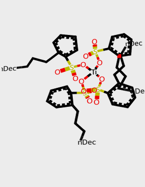 CCCCCCCCCCCCCc1ccccc1S(=O)(=O)[O][Ti]([O]S(=O)(=O)c1ccccc1CCCCCCCCCCCCC)([O]S(=O)(=O)c1ccccc1CCCCCCCCCCCCC)[O]S(=O)(=O)c1ccccc1CCCCCCCCCCCCC